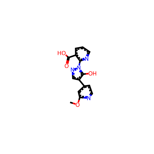 COc1cc(-c2cnn(-c3ncccc3C(=O)O)c2O)ccn1